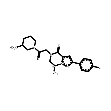 C[C@H]1CN(CC(=O)N2CCCC(C(=O)O)C2)C(=O)c2cc(-c3ccc(Cl)cc3)nn21